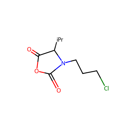 CC(C)C1C(=O)OC(=O)N1CCCCl